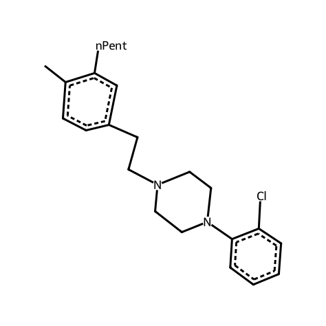 CCCCCc1cc(CCN2CCN(c3ccccc3Cl)CC2)ccc1C